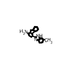 Cc1ccc2nc(-c3ccc(N)c4c3-c3ccccc3C4)[nH]c2c1